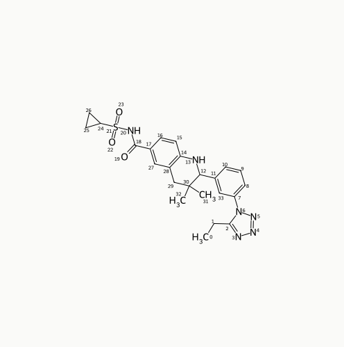 CCc1nnnn1-c1cccc(C2Nc3ccc(C(=O)NS(=O)(=O)C4CC4)cc3CC2(C)C)c1